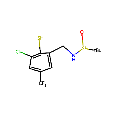 CC(C)(C)[S+]([O-])NCc1cc(C(F)(F)F)cc(Cl)c1S